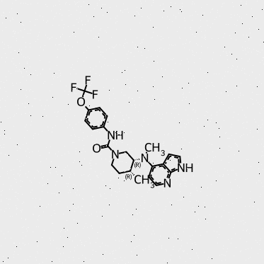 C[C@@H]1CCN(C(=O)Nc2ccc(OC(F)(F)F)cc2)C[C@@H]1N(C)c1ccnc2[nH]ccc12